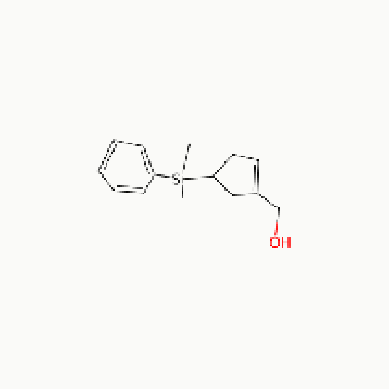 C[Si](C)(c1ccccc1)C1CC=C(CO)C1